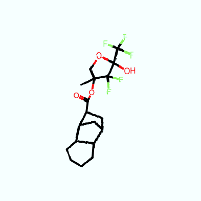 CC1(OC(=O)C2CC3CC2C2CCCCC32)COC(O)(C(F)(F)F)C1(F)F